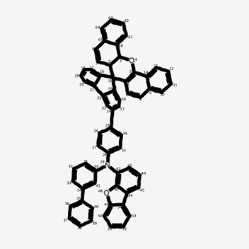 C1=CC2C(Oc3c(ccc4ccccc34)C23c2ccccc2-c2cc(-c4ccc(N(c5cccc(-c6ccccc6)c5)c5cccc6c5oc5ccccc56)cc4)ccc23)c2ccccc21